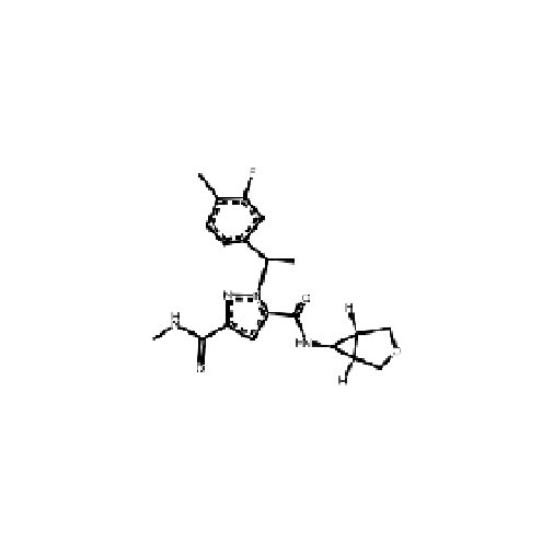 CNC(=O)c1cc(C(=O)N[C@H]2[C@@H]3COC[C@@H]32)n([C@H](C)c2ccc(C)c(F)c2)n1